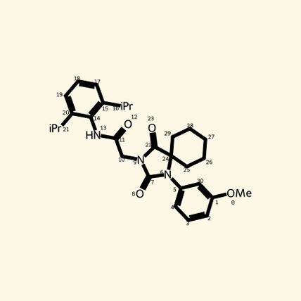 COc1cccc(N2C(=O)N(CC(=O)Nc3c(C(C)C)cccc3C(C)C)C(=O)C23CCCCC3)c1